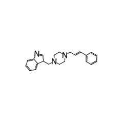 C1=Nc2ccccc2C1CN1CCN(C/C=C/c2ccccc2)CC1